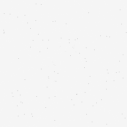 N[N+](=O)c1cc(C[CH]c2nc(-c3ccc(Cl)cc3Cl)co2)ccc1O